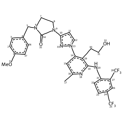 COc1ccc(CN2CCN(c3ccn(-c4cc(C)nc(Nc5ccc(C(F)(F)F)cc5C(F)(F)F)c4CCO)n3)C2=O)cc1